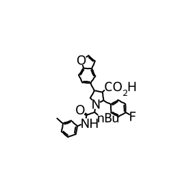 CCCCC(C(=O)Nc1cccc(C)c1)N1CC(c2ccc3occc3c2)C(C(=O)O)C1c1ccc(F)cc1